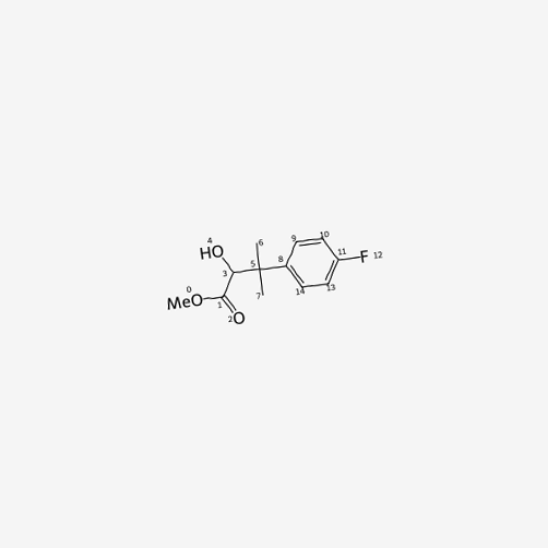 COC(=O)C(O)C(C)(C)c1ccc(F)cc1